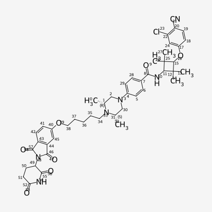 C[C@@H]1CN(c2ccc(C(=O)NC3C(C)(C)C(Oc4ccc(C#N)c(Cl)c4)C3(C)C)cc2)C[C@H](C)N1CCCCCOc1ccc2c(c1)C(=O)N(C1CCC(=O)NC1=O)C2=O